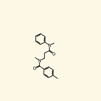 [CH2]c1ccc(C(=O)N(C)CCC(=O)N(C)c2ccccc2)cc1